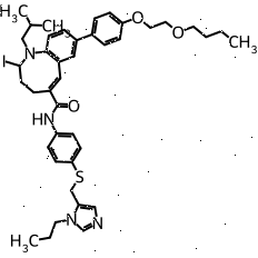 CCCCOCCOc1ccc(-c2ccc3c(c2)C=C(C(=O)Nc2ccc(SCc4cncn4CCC)cc2)CCC(I)N3CC(C)C)cc1